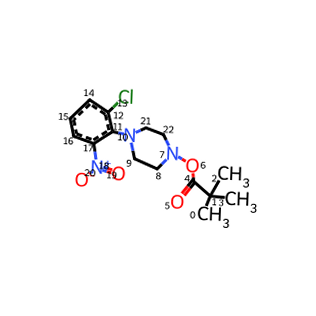 CC(C)(C)C(=O)ON1CCN(c2c(Cl)cccc2[N+](=O)[O-])CC1